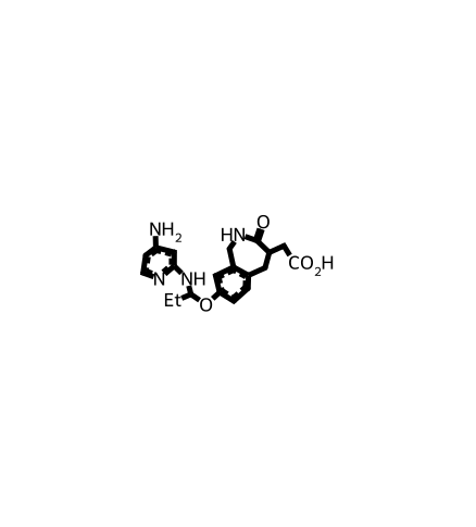 CCC(Nc1cc(N)ccn1)Oc1ccc2c(c1)CNC(=O)C(CC(=O)O)C2